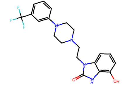 O=c1[nH]c2c(O)cccc2n1CCN1CCN(c2cccc(C(F)(F)F)c2)CC1